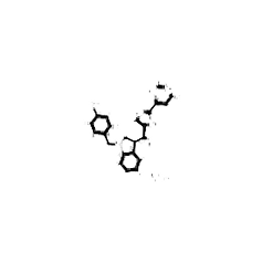 COc1ccc2c(c1)C(C(=O)c1coc(-c3ccncn3)n1)CN2Cc1ccc(Cl)cc1